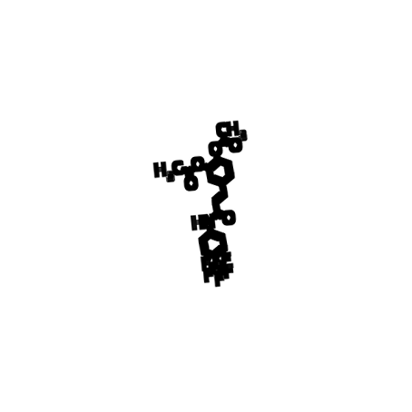 CC(=O)Oc1ccc(/C=C/C(=O)Nc2ccc(S(F)(F)(F)(F)F)cc2)cc1OC(C)=O